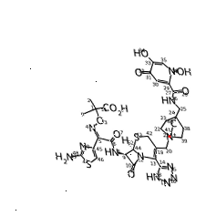 CC(C)(O/N=C(\C(=O)N[C@@H]1C(=O)N2C(c3nnn[nH]3)=C(C[N+]34CCC(CNC(=O)c5cc(=O)c(O)cn5O)(CC3)CC4)CS[C@H]12)c1csc(N)n1)C(=O)O